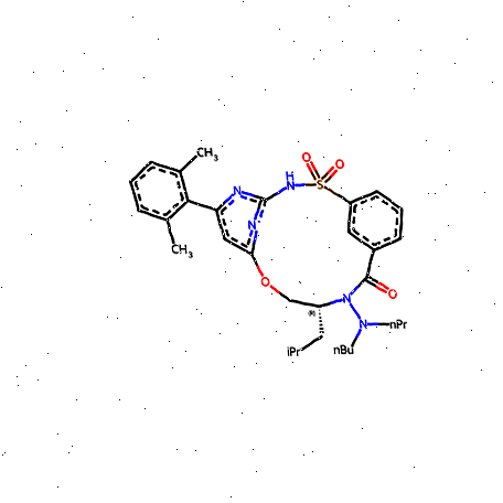 CCCCN(CCC)N1C(=O)c2cccc(c2)S(=O)(=O)Nc2nc(cc(-c3c(C)cccc3C)n2)OC[C@H]1CC(C)C